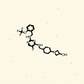 OC1CN(C2CCC(CNc3nc(NCc4ccccc4OC(F)(F)F)ncc3F)CC2)C1